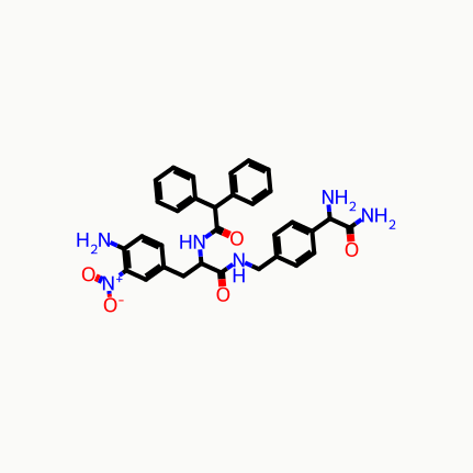 NC(=O)C(N)c1ccc(CNC(=O)C(Cc2ccc(N)c([N+](=O)[O-])c2)NC(=O)C(c2ccccc2)c2ccccc2)cc1